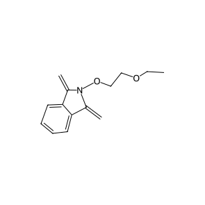 C=c1c2ccccc2c(=C)n1OCCOCC